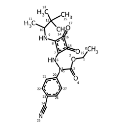 CCOC(=O)N(Nc1c(NC(C)C(C)(C)C)c(=O)c1=O)c1ccc(C#N)cc1